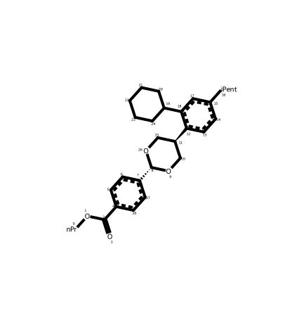 CCCOC(=O)c1ccc([C@H]2OC[C@H](c3ccc(C(C)CCC)cc3C3CCCCC3)CO2)cc1